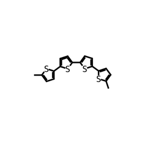 Cc1ccc(C2=C=C=C(c3ccc(-c4ccc(C)s4)s3)S2)s1